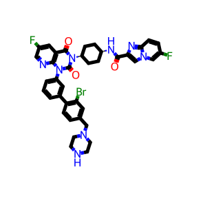 O=C(N[C@H]1CC[C@@H](n2c(=O)c3cc(F)cnc3n(-c3cccc(-c4ccc(CN5CCNCC5)cc4Br)c3)c2=O)CC1)c1cn2cc(F)ccc2n1